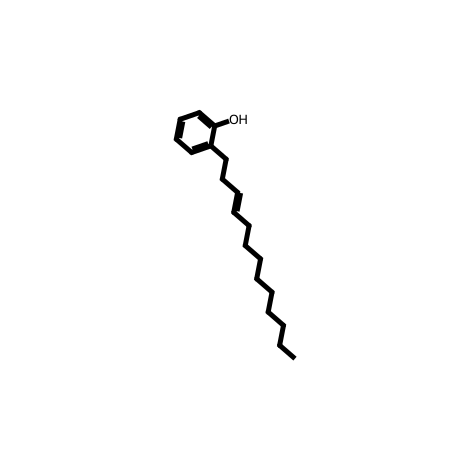 CCCCCCCCCC=CCCc1ccccc1O